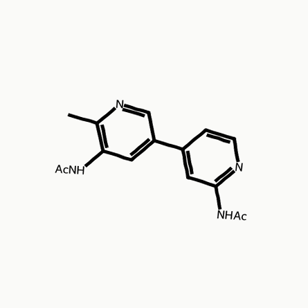 CC(=O)Nc1cc(-c2cnc(C)c(NC(C)=O)c2)ccn1